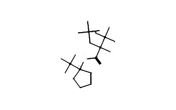 CC(C)(C)CC(C)(C(=O)OC1(C(C)(C)C)CCCC1)C(C)(C)C